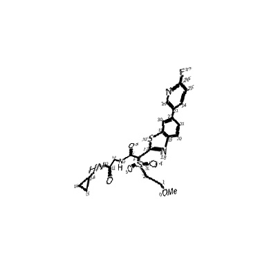 COCCS(=O)(=O)C(C(=O)NCC(=O)NC1CC1)c1nc2ccc(-c3ccc(F)nc3)cc2s1